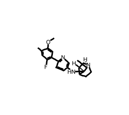 COc1cc(-c2ccc(N[C@H]3C4CCN(CC4)[C@@H]3C)cn2)c(F)cc1C